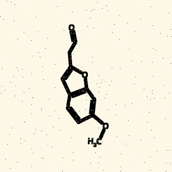 COc1ccc2cc(CC=O)oc2c1